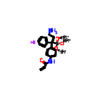 C=CC(=O)Nc1ccc(C(CCN)(c2ccccc2)[Si](OCCC)(OCCC)OCCC)cc1.I